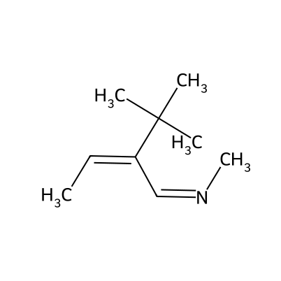 C/C=C(\C=N/C)C(C)(C)C